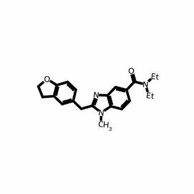 CCN(CC)C(=O)c1ccc2c(c1)nc(Cc1ccc3c(c1)CCO3)n2C